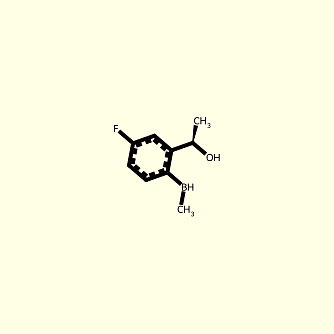 CBc1ccc(F)cc1[C@@H](C)O